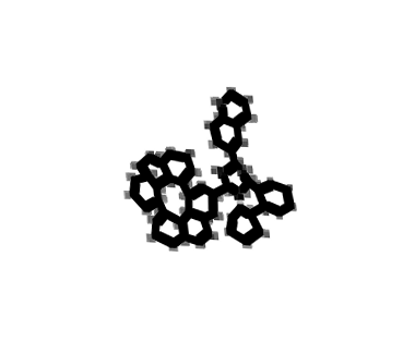 c1ccc(-c2ccccc2-c2nc(-c3ccc4ncccc4c3)nc(-c3cc4ccc5cccc6c7cccc8ccc9cccc(c(c3)c4c56)c9c87)n2)cc1